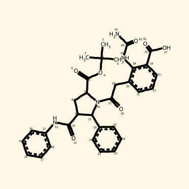 CC(C)(C)OC(=O)C1CC(C(=O)Nc2ccccc2)C(c2ccccc2)N1C(=O)Cc1cccc(C(=O)O)c1NC(N)=O